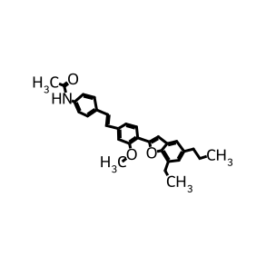 CCCc1cc(CC)c2oc(-c3ccc(/C=C/c4ccc(NC(C)=O)cc4)cc3OC)cc2c1